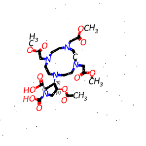 COC(=O)CN1CCN(CC(=O)OC)CCN([C@@H]2[C@@H](OC(C)=O)CN(C(=O)O)[C@@H]2C(=O)O)CCN(CC(=O)OC)CC1